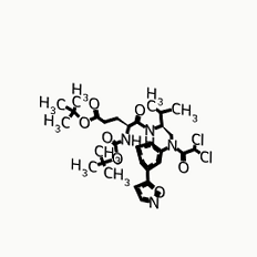 CC(C)[C@@H](CN(C(=O)C(Cl)Cl)c1cccc(-c2ccno2)c1)NC(=O)[C@H](CCC(=O)OC(C)(C)C)NC(=O)OC(C)(C)C